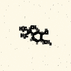 Cc1cn[c]([Sn]([CH3])([CH3])[CH3])cc1Cl